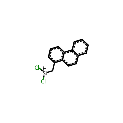 Cl[SiH](Cl)Cc1cccc2c1ccc1ccccc12